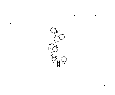 Cc1ccnc(Nc2ncc(Sc3ccnc(C(=O)NCC(c4ccccc4)c4ccccc4Br)c3F)s2)c1